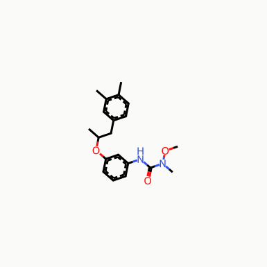 CON(C)C(=O)Nc1cccc(OC(C)Cc2ccc(C)c(C)c2)c1